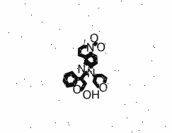 COC(=O)N1c2ccc3c(nc(C(CC(=O)O)c4ccccc4)n3C3CCOCC3)c2CC[C@@H]1C